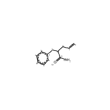 C=CCC(Cc1ccccc1)C(N)=O